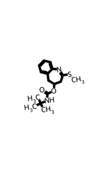 CSC1=Nc2ccccc2CC(OC(=O)NC(C)(C)C)C1